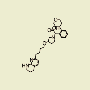 O=C(O)C(c1ccccc1C1CCOCC1)N1CCC(OCCCCc2ccc3c(n2)NCCC3)C1